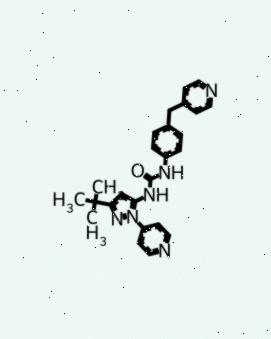 CC(C)(C)c1cc(NC(=O)Nc2ccc(Cc3ccncc3)cc2)n(-c2ccncc2)n1